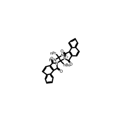 CCCCC(N1C(=O)c2ccc3ccccc3c2C1=O)(N1C(=O)c2ccc3ccccc3c2C1=O)C(N)(N)CCC